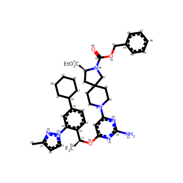 CCOC(=O)[C@@H]1CC2(CCN(c3cc(O[C@H](c4ccc(C5CCCCC5)cc4-n4ccc(C)n4)C(F)(F)F)nc(N)n3)CC2)CN1C(=O)OCc1ccccc1